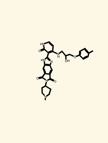 Cc1ccc(OCC(O)CNc2cc[nH]c(=O)c2-c2nc3cc4c(cc3[nH]2)C(=O)N(C2CCN(C)CC2)C4=O)cc1